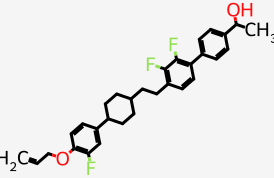 C=CCOc1ccc(C2CCC(CCc3ccc(-c4ccc(C(C)O)cc4)c(F)c3F)CC2)cc1F